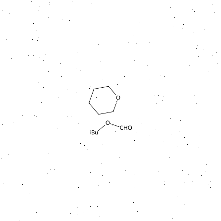 C1CCOCC1.CCC(C)OC=O